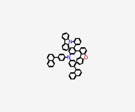 c1ccc(-n2c3ccccc3c3ccccc32)c(-c2ccc(N(c3ccc(-c4cccc5ccccc45)cc3)c3ccc(-c4cccc5ccccc45)cc3)cc2-c2cccc3oc4ccccc4c23)c1